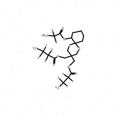 O=C(OCC1(COC(=O)C(F)(F)C(F)(F)C(F)(F)F)CSC2(CCCCC2OC(=O)C(F)(F)S(=O)(=O)O)SC1)C(F)(F)C(F)(F)C(F)(F)F